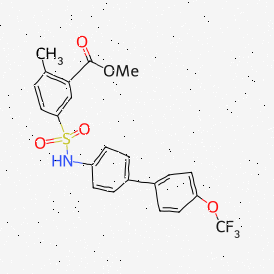 COC(=O)c1cc(S(=O)(=O)Nc2ccc(-c3ccc(OC(F)(F)F)cc3)cc2)ccc1C